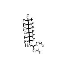 CC(C)NC(F)(F)C(F)(F)C(F)(F)C(F)(F)C(F)(F)C(F)(F)F